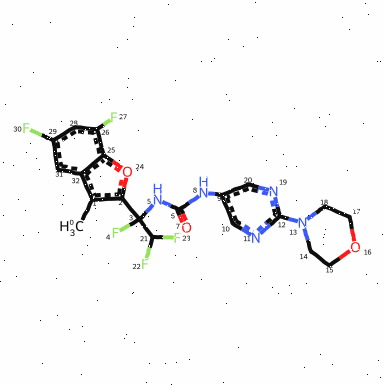 Cc1c(C(F)(NC(=O)Nc2cnc(N3CCOCC3)nc2)C(F)F)oc2c(F)cc(F)cc12